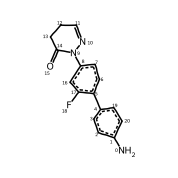 Nc1ccc(-c2ccc(N3N=CCCC3=O)cc2F)cc1